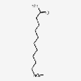 CCCCCCCCCCCCCCCCCC(=O)CCC